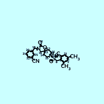 Cc1cc(C)c(CS(=O)(=O)N2CCC3(CC2)CN(Cc2cccc(C#N)c2)C(=O)O3)c(C)c1